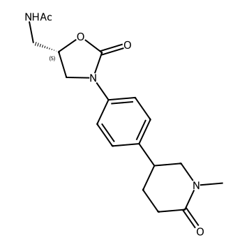 CC(=O)NC[C@H]1CN(c2ccc(C3CCC(=O)N(C)C3)cc2)C(=O)O1